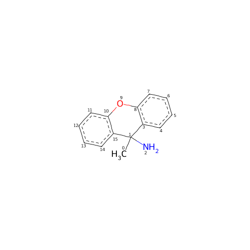 CC1(N)c2ccccc2Oc2ccccc21